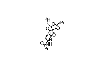 [2H]C[C@H]1O[C@@H](n2ccc(NC(=O)C(C)C)nc2=O)C(F)(F)C1OC(=O)C(C)C